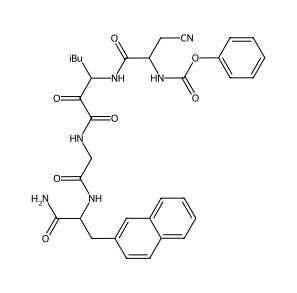 CCC(C)C(NC(=O)C(CC#N)NC(=O)Oc1ccccc1)C(=O)C(=O)NCC(=O)NC(Cc1ccc2ccccc2c1)C(N)=O